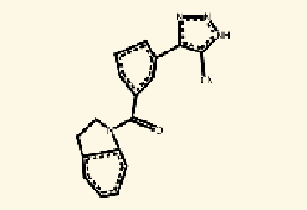 N#Cc1[nH]nnc1-c1cccc(C(=O)N2CCc3ccccc32)c1